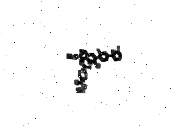 CSc1ncc2cc(-c3ccc(-c4cccc(C)n4)cc3C)c(=O)n(CC(=O)N3CCN(C(=O)OC(C)(C)C)CC3)c2n1